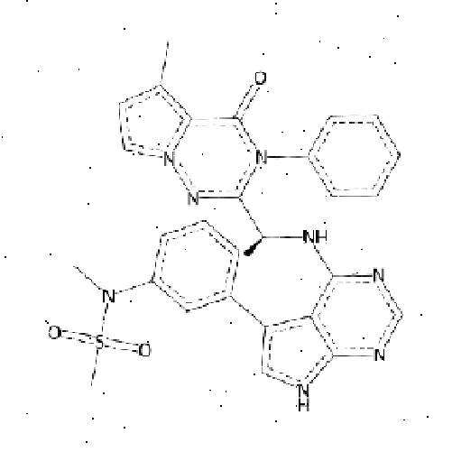 Cc1ccn2nc([C@H](C)Nc3ncnc4[nH]cc(-c5cccc(N(C)S(C)(=O)=O)c5)c34)n(-c3ccccc3)c(=O)c12